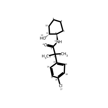 CC(C)(C(=O)N[C@@H]1CCCC[C@H]1O)c1ccc(Cl)cc1